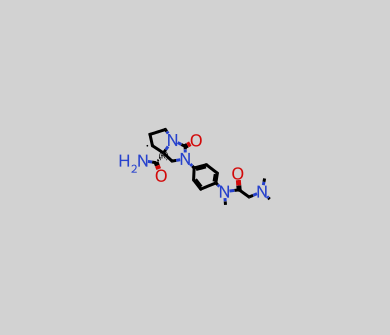 CN(C)CC(=O)N(C)c1ccc(N2C[C@@]3(C(N)=O)[CH]CCN3C2=O)cc1